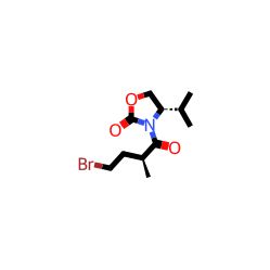 CC(C)[C@H]1COC(=O)N1C(=O)[C@@H](C)CCBr